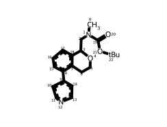 CN(CC1OCCc2c(-c3ccncc3)cccc21)C(=O)OC(C)(C)C